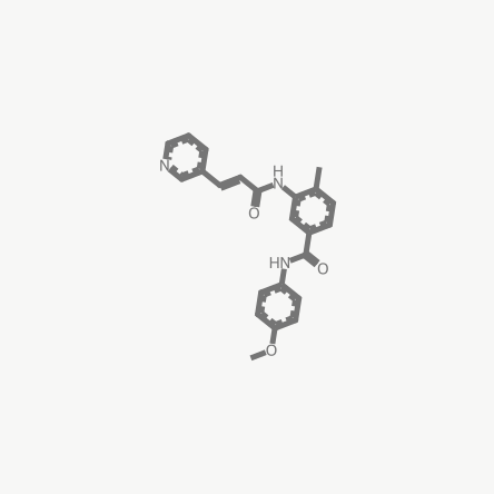 COc1ccc(NC(=O)c2ccc(C)c(NC(=O)C=Cc3cccnc3)c2)cc1